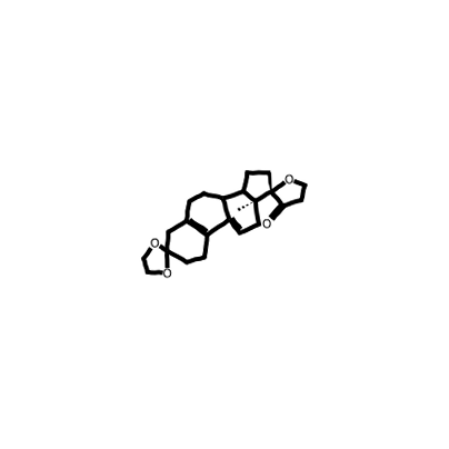 C[C@]12CC=C3C4=C(CCC3C1CC[C@]21OCCC1=O)CC1(CC4)OCCO1